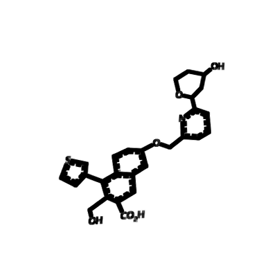 O=C(O)c1cc2cc(OCc3cccc(C4CC(O)CCO4)n3)ccc2c(-c2ccsc2)c1CO